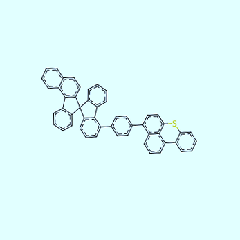 c1ccc2c(c1)Sc1ccc(-c3ccc(-c4cccc5c4-c4ccccc4C54c5ccccc5-c5c4ccc4ccccc54)cc3)c3cccc-2c13